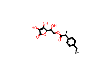 CC(C)Cc1ccc([C@H](C)C(=O)OC[C@H](O)[C@H]2OC(=O)C(O)=C2O)cc1